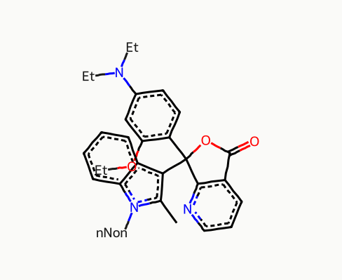 CCCCCCCCCn1c(C)c(C2(c3ccc(N(CC)CC)cc3OCC)OC(=O)c3cccnc32)c2ccccc21